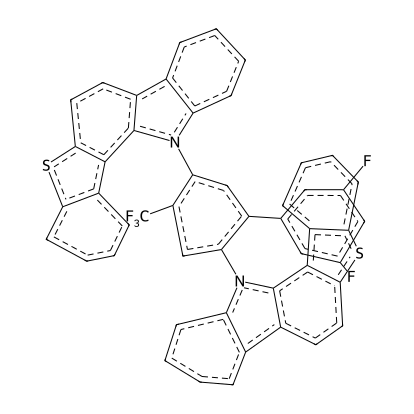 Fc1cc(F)cc(-c2cc(-n3c4ccccc4c4ccc5sc6ccccc6c5c43)c(C(F)(F)F)cc2-n2c3ccccc3c3ccc4sc5ccccc5c4c32)c1